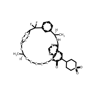 C[C@@H]1CCCCCn2c(=O)c(C3CCS(=O)(=O)CC3)cc3c(ncnc32)N[C@H](C)c2cccc(c2)C(F)(F)C2CCN(CC2)C1